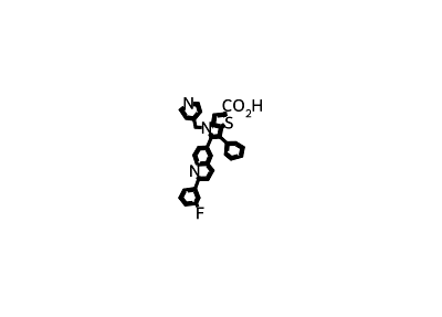 O=C(O)c1cc2c(s1)c(-c1ccccc1)c(-c1ccc3nc(-c4cccc(F)c4)ccc3c1)n2Cc1ccncc1